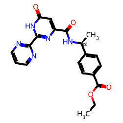 CCOC(=O)c1ccc([C@H](C)NC(=O)c2cc(=O)[nH]c(-c3ncccn3)n2)cc1